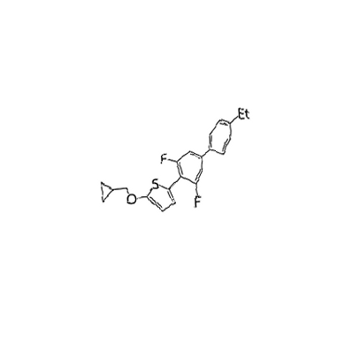 CCc1ccc(-c2cc(F)c(-c3ccc(OCC4CC4)s3)c(F)c2)cc1